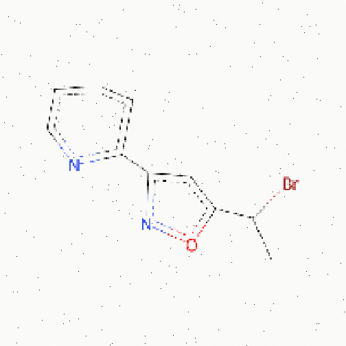 CC(Br)c1cc(-c2ccccn2)no1